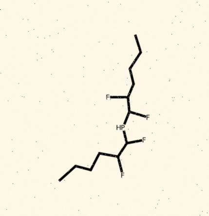 CCCCC(F)C(F)PC(F)C(F)CCCC